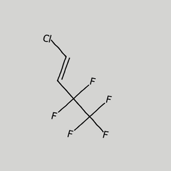 FC(F)(F)C(F)(F)/C=C/Cl